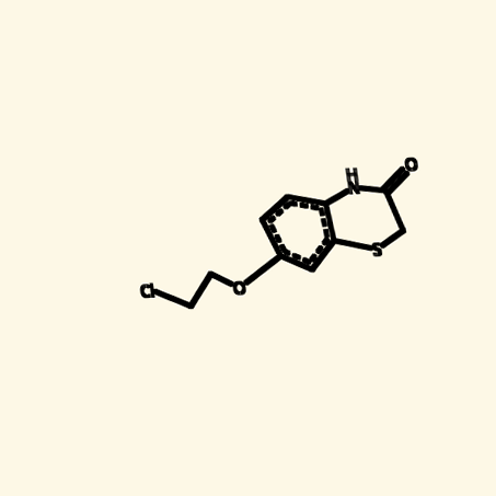 O=C1CSc2cc(OCCCl)ccc2N1